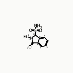 CCN1C(=O)c2ccccc2C1S(N)(=O)=O